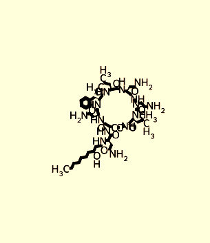 CCCCCCC[C@@H](O)CC(=O)N[C@H](CCN)C(=O)N[C@H]1CCNC(=O)[C@H](CC(C)C)NC(=O)N(CCN)NC(=O)[C@H](CCN)NC(=O)[C@H](CC(C)C)NC(=O)[C@@H](Cc2ccccc2)NC(=O)[C@H](CCN)NC1=O